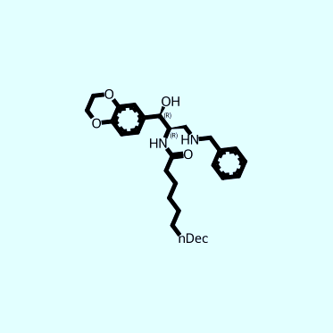 CCCCCCCCCCCCCCCC(=O)N[C@H](CNCc1ccccc1)[C@H](O)c1ccc2c(c1)OCCO2